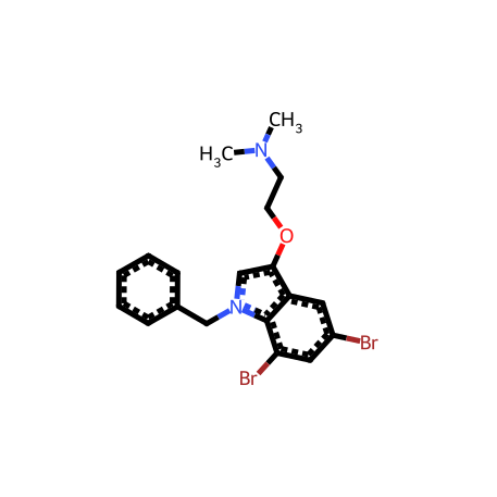 CN(C)CCOc1cn(Cc2ccccc2)c2c(Br)cc(Br)cc12